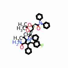 CC(C)C1=C(C(N)=O)C(c2ccccc2)=C(c2ccc(F)cc2)[N+]1(CC[C@@H]1C[C@H](CC(=O)N(c2ccccc2)c2ccccc2)OC(C)(C)O1)c1ccccc1